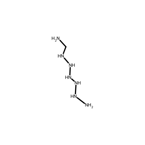 NCNNNNNN